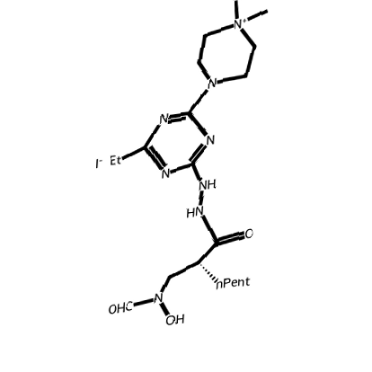 CCCCC[C@H](CN(O)C=O)C(=O)NNc1nc(CC)nc(N2CC[N+](C)(CCC)CC2)n1.[I-]